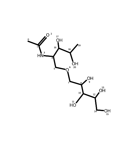 CC(=O)NC(COCC(O)C(O)C(O)CO)C(O)C(C)O